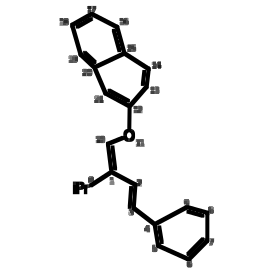 CC(C)C(C=Cc1ccccc1)=COc1ccc2ccccc2c1